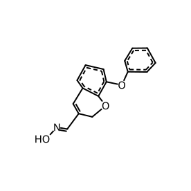 ON=CC1=Cc2cccc(Oc3ccccc3)c2OC1